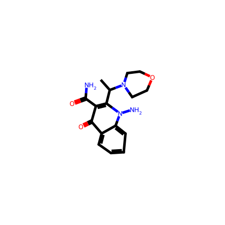 CC(c1c(C(N)=O)c(=O)c2ccccc2n1N)N1CCOCC1